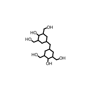 OCC1CC(CC2CC(CO)C(O)C(CO)C2)CC(CO)C1O